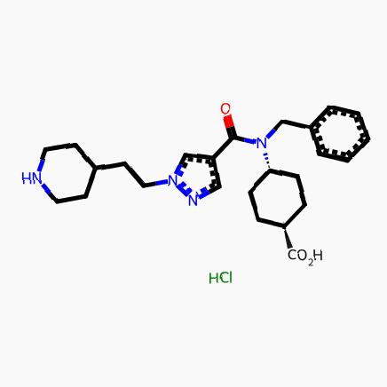 Cl.O=C(c1cnn(CCC2CCNCC2)c1)N(Cc1ccccc1)[C@H]1CC[C@H](C(=O)O)CC1